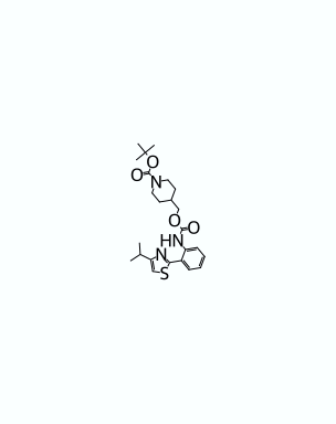 CC(C)c1csc(-c2ccccc2NC(=O)OCC2CCN(C(=O)OC(C)(C)C)CC2)n1